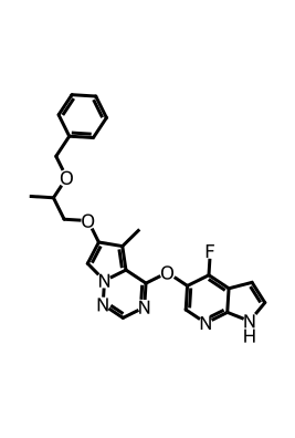 Cc1c(OCC(C)OCc2ccccc2)cn2ncnc(Oc3cnc4[nH]ccc4c3F)c12